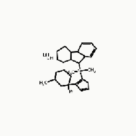 CC1CCCC(C2=C([Si](C)(C)C3C4C=CC=CC4C4CCCCC43)CC=C2)(C(C)C)C1.[LiH].[LiH]